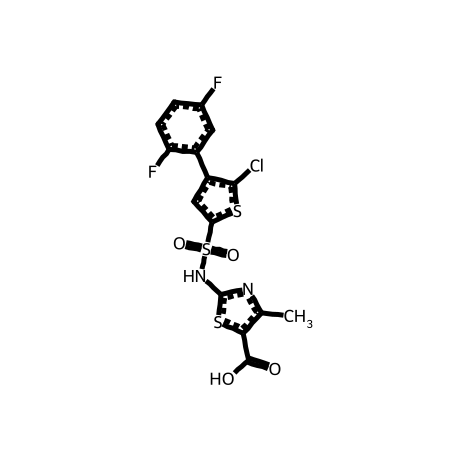 Cc1nc(NS(=O)(=O)c2cc(-c3cc(F)ccc3F)c(Cl)s2)sc1C(=O)O